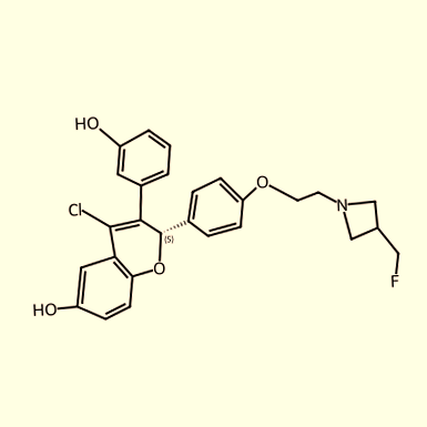 Oc1cccc(C2=C(Cl)c3cc(O)ccc3O[C@H]2c2ccc(OCCN3CC(CF)C3)cc2)c1